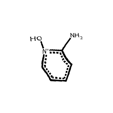 Nc1cccc[n+]1O